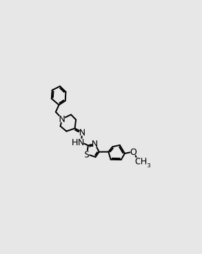 COc1ccc(-c2csc(NN=C3CCN(Cc4ccccc4)CC3)n2)cc1